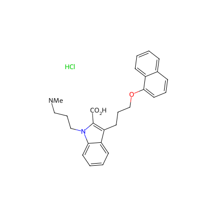 CNCCCn1c(C(=O)O)c(CCCOc2cccc3ccccc23)c2ccccc21.Cl